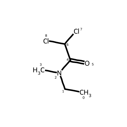 CCN(C)C(=O)C(Cl)Cl